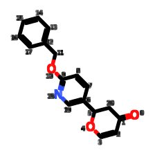 O=C1C=COC(c2ccc(OCc3ccccc3)nc2)C1